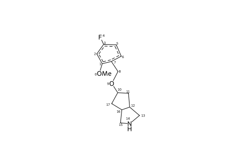 COc1cc(F)ccc1COC1CC2CNCC2C1